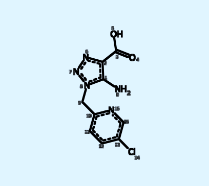 Nc1c(C(=O)O)nnn1Cc1ccc(Cl)cn1